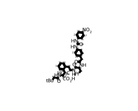 CC(C)CC(NC(=O)Cc1ccc(NC(=O)Nc2ccc([N+](=O)[O-])cc2)cc1)C(=O)NC(Cc1ccccc1CC(NC(=O)CC(C)(C)C)C(=O)O)C(=O)O